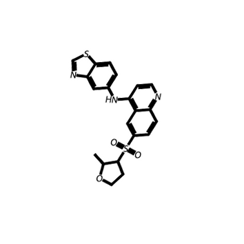 CC1OCCC1S(=O)(=O)c1ccc2nccc(Nc3ccc4scnc4c3)c2c1